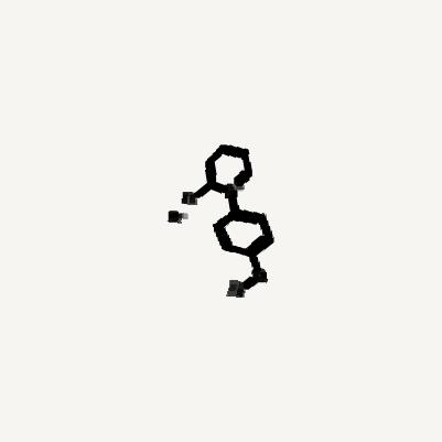 CCOc1ccc(-[n+]2ccccc2CC)cc1.[Br-]